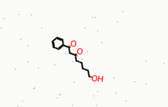 O=C(CCCCCO)CC(=O)c1ccccc1